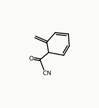 C=C1C=CC=CC1C(=O)C#N